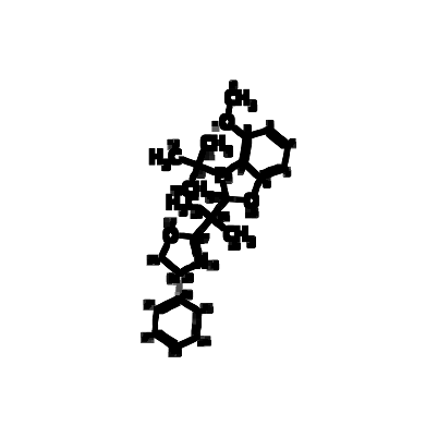 COc1cccc2c1P(C(C)(C)C)C(C(C)(C)C1=N[C@H](c3ccccc3)CO1)O2